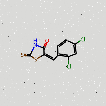 O=C1NC(=S)SC1=Cc1ccc(Cl)cc1Cl